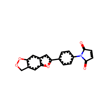 O=C1C=CC(=O)N1c1ccc(-c2cc3cc4c(cc3o2)COO4)cc1